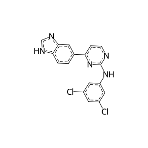 Clc1cc(Cl)cc(Nc2nccc(-c3ccc4[nH]cnc4c3)n2)c1